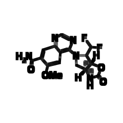 COc1cc2c(N3C[C@H]4NC(=O)O[C@H]4C3C(F)F)ncnc2cc1C(N)=O